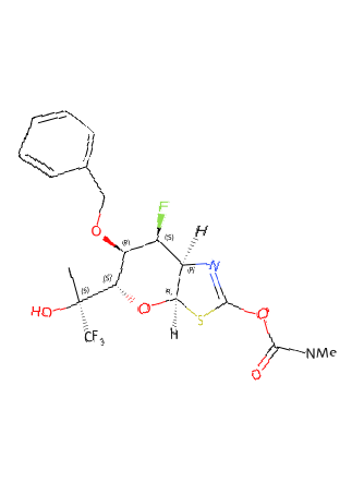 CNC(=O)OC1=N[C@@H]2[C@H](F)[C@H](OCc3ccccc3)[C@@H]([C@](C)(O)C(F)(F)F)O[C@@H]2S1